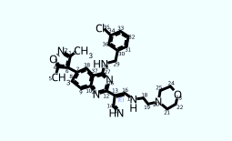 Cc1noc(C)c1-c1ccc2nc(/C(C=N)=C/NCCN3CCOCC3)nc(NCc3cccc(Cl)c3)c2c1